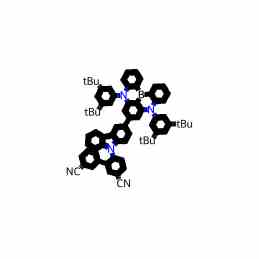 CC(C)(C)c1cc(N2c3ccccc3B3c4ccccc4N(c4cc(C(C)(C)C)cc(C(C)(C)C)c4)c4cc(-c5ccc6c(c5)c5ccccc5n6-c5ccc(C#N)cc5-c5cccc(C#N)c5)cc2c43)cc(C(C)(C)C)c1